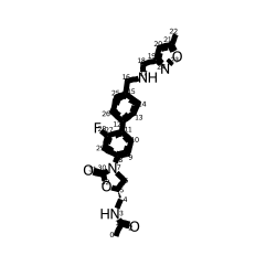 CC(=O)NC[C@H]1CN(c2ccc(-c3ccc(CNCc4cc(C)on4)cc3)c(F)c2)C(=O)O1